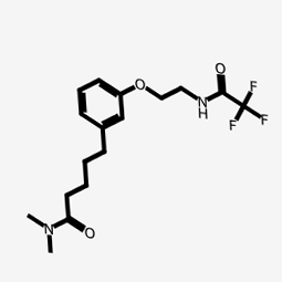 CN(C)C(=O)CCCCc1cccc(OCCNC(=O)C(F)(F)F)c1